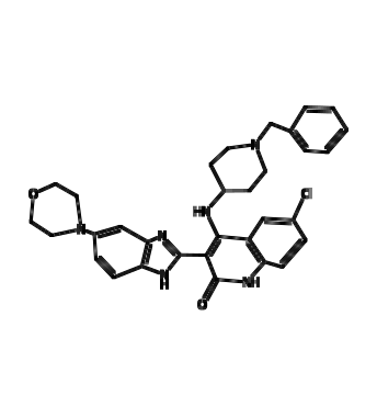 O=c1[nH]c2ccc(Cl)cc2c(NC2CCN(Cc3ccccc3)CC2)c1-c1nc2cc(N3CCOCC3)ccc2[nH]1